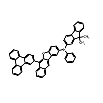 CC1(C)c2ccccc2-c2ccc(N(c3ccccc3)c3ccc4oc5c(-c6ccc7c8ccccc8c8ccccc8c7c6)c6ccccc6cc5c4c3)cc21